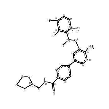 C[C@H](Oc1cc(-c2ccc(C(=O)NC[C@H]3CCCO3)cc2)cnc1N)c1c(Cl)ccc(F)c1Cl